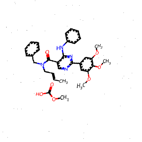 C/C=C/CN(Cc1ccccc1)C(=O)c1cnc(-c2cc(OC)c(OC)c(OC)c2)nc1Nc1ccccc1.COC(=O)O